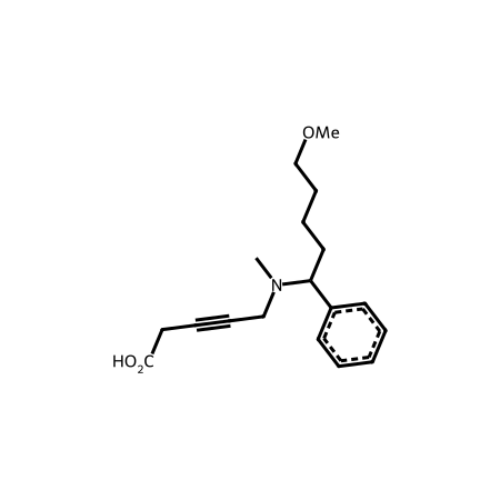 COCCCCC(c1ccccc1)N(C)CC#CCC(=O)O